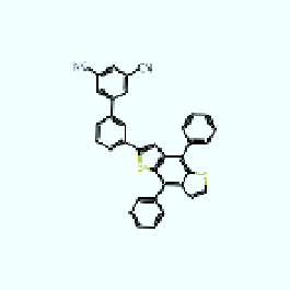 N#Cc1cc(C#N)cc(-c2cccc(-c3cc4c(-c5ccccc5)c5sccc5c(-c5ccccc5)c4s3)c2)c1